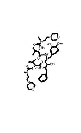 COc1ccc(CN(CC(O)C(Cc2ccccc2)NC(=O)[C@@H](NC(=O)N(C)CCN2CCOCC2)C(C)C)NC(=O)[C@@H](NC(=O)N(C)CCN2CCOCC2)C(C)C)cc1OC